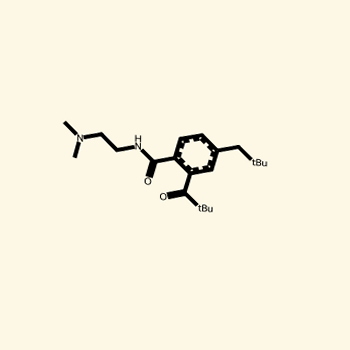 CN(C)CCNC(=O)c1ccc(CC(C)(C)C)cc1C(=O)C(C)(C)C